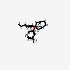 CCCCCCN1C2CCC1CC(C#N)(c1cncc(Cl)c1)C2